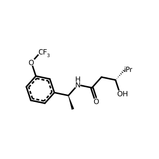 CC(C)[C@H](O)CC(=O)N[C@@H](C)c1cccc(OC(F)(F)F)c1